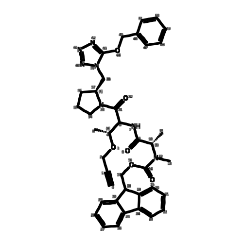 C#CCO[C@H](C)C(NC(=O)[C@H](C)N(C)C(=O)OCC1c2ccccc2-c2ccccc21)C(=O)N1CCC[C@H]1Cn1nnnc1OCc1ccccc1